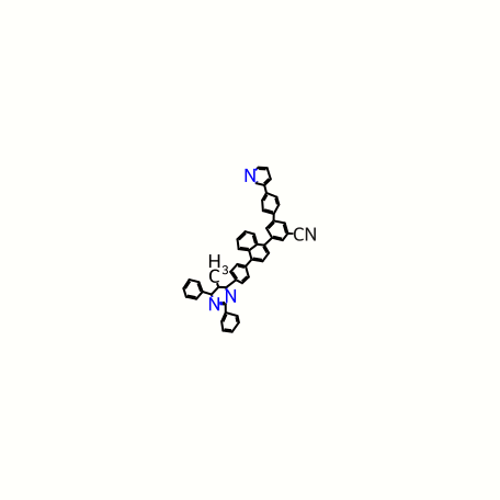 CC1C(c2ccc(-c3ccc(-c4cc(C#N)cc(-c5ccc(-c6cccnc6)cc5)c4)c4ccccc34)cc2)=NC(c2ccccc2)=NC1c1ccccc1